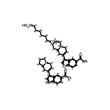 CC(C)C(=O)c1ccc2occ(C3=CCN4CCCCC4C3)c2c1.CCC(=O)c1ccc2[nH]cc(C3=CCN4CCCC4C3)c2c1.O=C(O)CCCCCCC(=O)O